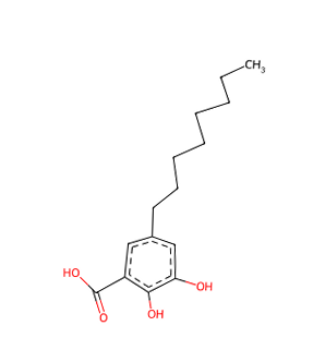 CCCCCCCCc1cc(O)c(O)c(C(=O)O)c1